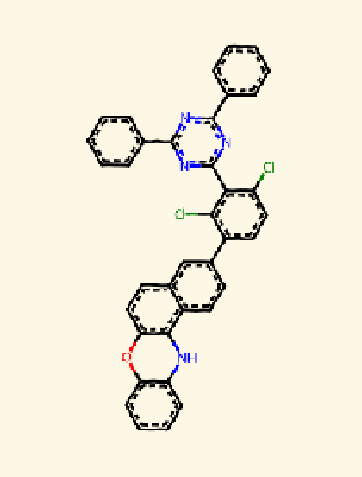 Clc1ccc(-c2ccc3c4c(ccc3c2)Oc2ccccc2N4)c(Cl)c1-c1nc(-c2ccccc2)nc(-c2ccccc2)n1